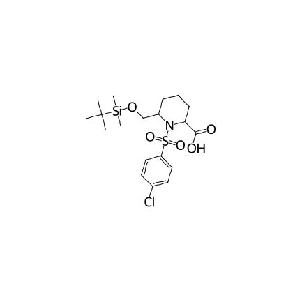 CC(C)(C)[Si](C)(C)OCC1CCCC(C(=O)O)N1S(=O)(=O)c1ccc(Cl)cc1